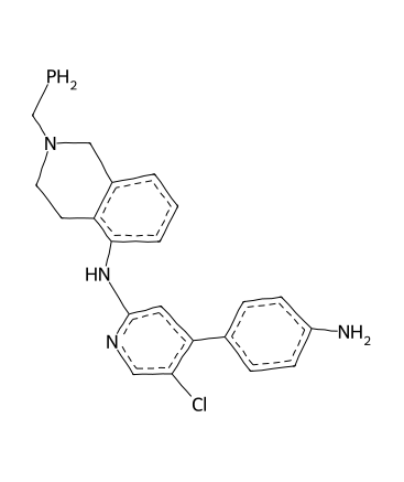 Nc1ccc(-c2cc(Nc3cccc4c3CCN(CP)C4)ncc2Cl)cc1